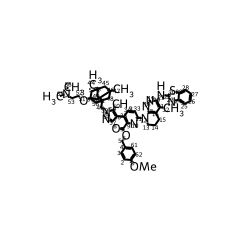 COc1ccc(COC(=O)c2nc(N3CCCc4c3nnc(Nc3nc5ccccc5s3)c4C)ccc2-c2cnn(CC34CC5(C)CC(C)(C3)CC(OCCN(C)C)(C5)C4)c2C)cc1